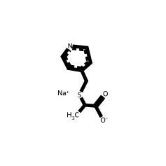 CC(SCc1ccncc1)C(=O)[O-].[Na+]